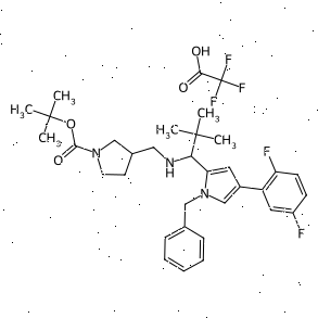 CC(C)(C)OC(=O)N1CCC(CNC(c2cc(-c3cc(F)ccc3F)cn2Cc2ccccc2)C(C)(C)C)C1.O=C(O)C(F)(F)F